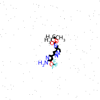 CC(C)(C)OC(=O)N1CC2(CCn3nc(-c4cnc(N)c(OC(F)(F)F)c4)cc32)C1